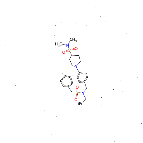 CC(C)CN(Cc1ccc(N2CCC(S(=O)(=O)N(C)C)CC2)cc1)S(=O)(=O)Cc1ccccc1